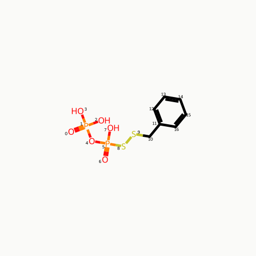 O=P(O)(O)OP(=O)(O)SSCc1ccccc1